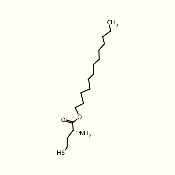 CCCCCCCCCCCCCOC(=O)[C@H](N)CCS